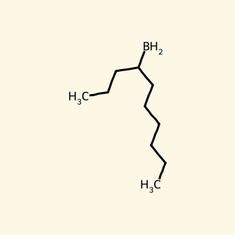 BC(CCC)CCCCCC